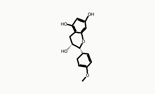 COC1=CCC([C@H]2Oc3cc(O)cc(O)c3C[C@H]2O)C=C1